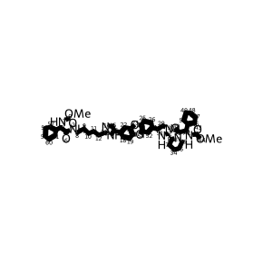 COC(=O)N[C@@H](C(=O)NCCCCCC1=NCC(c2ccc3c(c2)Oc2ccc(C4CN=C([C@@H]5CCCCN5C(=O)[C@H](NC(=O)OC)c5ccccc5)N4)cc2O3)N1)c1ccccc1